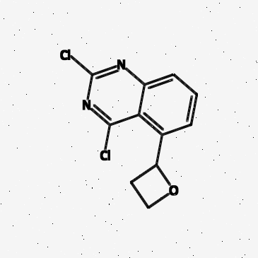 Clc1nc(Cl)c2c(C3CCO3)cccc2n1